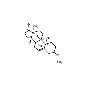 CC(=O)[C@H]1CC[C@H]2[C@@H]3CC=C4CC(O[SiH3])CC[C@]4(C)[C@H]3CC[C@]12C